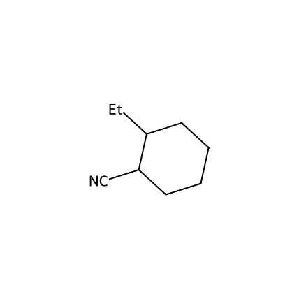 CCC1CCCCC1C#N